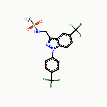 CS(=O)(=O)NCc1nn(-c2ccc(C(F)(F)F)cc2)c2ccc(C(F)(F)F)cc12